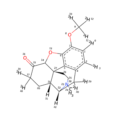 [2H]c1c([2H])c2c3c(c1OC([2H])([2H])[2H])OC1C(=O)C([2H])([2H])C[C@H]4[C@H](N(C)CC[C@]314)C2([2H])[2H]